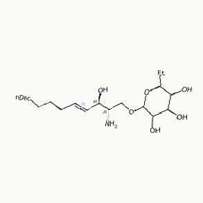 CCCCCCCCCCCCC/C=C/[C@@H](O)[C@@H](N)COC1OC(CC)C(O)C(O)C1O